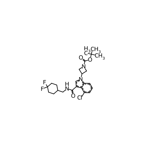 CC(C)(C)OC(=O)N1CC(n2cc(C(=O)NCC3CCC(F)(F)CC3)c3c(Cl)cccc32)C1